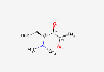 C[C@@H](O)[C@H](O)[C@H](CC=O)N(C)C